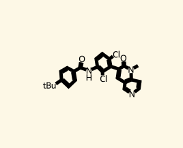 Cn1c(=O)c(-c2c(Cl)ccc(NC(=O)c3ccc(C(C)(C)C)cc3)c2Cl)cc2cnccc21